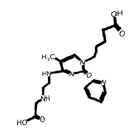 Cc1cn(CCCCC(=O)O)c(=O)nc1NCCNCC(=O)O.c1ccncc1